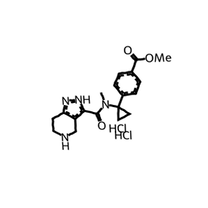 COC(=O)c1ccc(C2(N(C)C(=O)c3[nH]nc4c3CNCC4)CC2)cc1.Cl.Cl